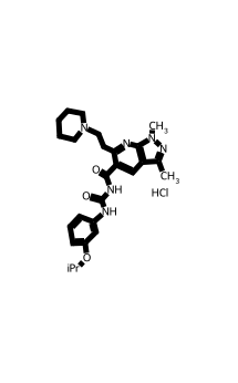 Cc1nn(C)c2nc(CCN3CCCCC3)c(C(=O)NC(=O)Nc3cccc(OC(C)C)c3)cc12.Cl